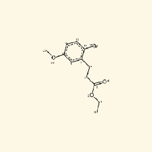 CCOC(=O)CCc1cc(OC)ccc1Br